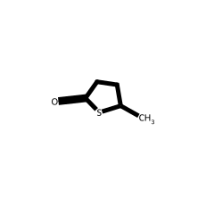 CC1CCC(=O)S1